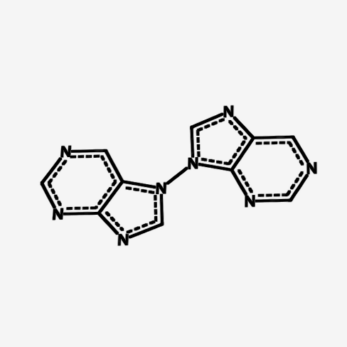 c1ncc2c(n1)ncn2-n1cnc2cncnc21